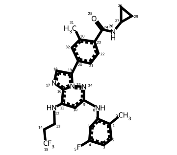 Cc1ccc(F)cc1Nc1cc(NCCC(F)(F)F)c2ncc(-c3ccc(C(=O)NC4CC4)c(C)c3)n2n1